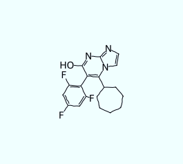 Oc1nc2nccn2c(C2CCCCCC2)c1-c1c(F)cc(F)cc1F